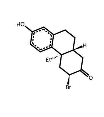 CC[C@@]12C[C@H](Br)C(=O)C[C@H]1CCc1cc(O)ccc12